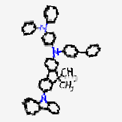 CC1(C)c2cc(N(c3ccc(-c4ccccc4)cc3)c3ccc(N(c4ccccc4)c4ccccc4)cc3)ccc2-c2ccc(-n3c4ccccc4c4ccccc43)cc21